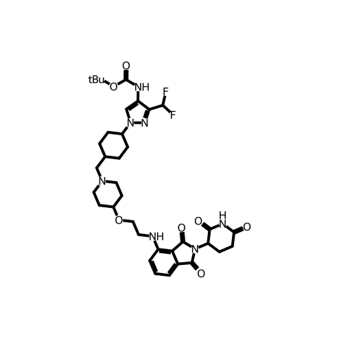 CC(C)(C)OC(=O)Nc1cn(C2CCC(CN3CCC(OCCNc4cccc5c4C(=O)N(C4CCC(=O)NC4=O)C5=O)CC3)CC2)nc1C(F)F